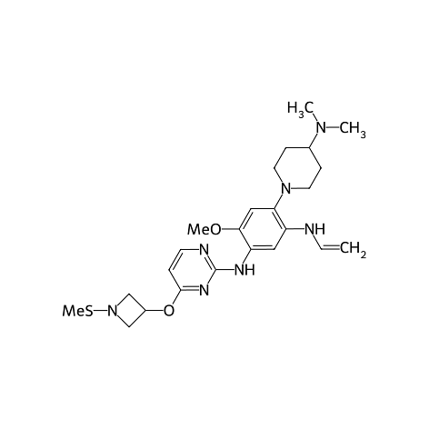 C=CNc1cc(Nc2nccc(OC3CN(SC)C3)n2)c(OC)cc1N1CCC(N(C)C)CC1